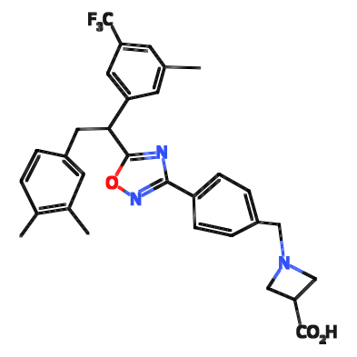 Cc1cc(C(Cc2ccc(C)c(C)c2)c2nc(-c3ccc(CN4CC(C(=O)O)C4)cc3)no2)cc(C(F)(F)F)c1